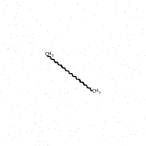 CCCCCC=CC=CC[CH]CCCCCCC=CCC=CCCCCC